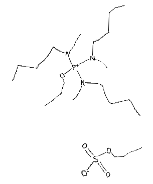 CCCCN(C)[P+](OCC)(N(C)CCCC)N(C)CCCC.CCOS(=O)(=O)[O-]